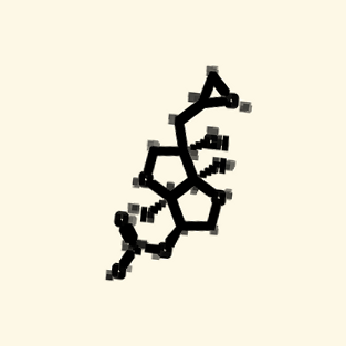 O=[N+]([O-])O[C@@H]1CO[C@H]2[C@@H]1OC[C@@]2(O)CC1CO1